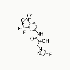 O=C(Nc1ccc([N+](=O)[O-])c(C(F)(F)F)c1)[C@@H](O)Cn1cc(F)cn1